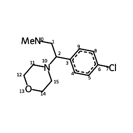 CNCC(c1ccc(Cl)cc1)N1CCOCC1